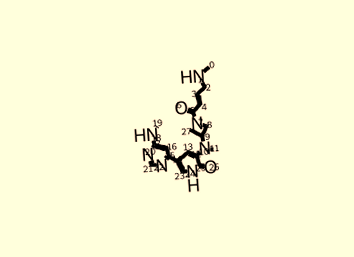 CNCC=CC(=O)N1CC(N(C)c2cc(-c3cc(NC)ncn3)c[nH]c2=O)C1